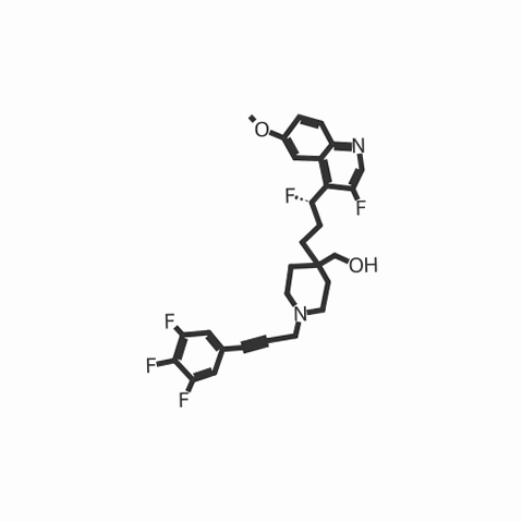 COc1ccc2ncc(F)c([C@@H](F)CCC3(CO)CCN(CC#Cc4cc(F)c(F)c(F)c4)CC3)c2c1